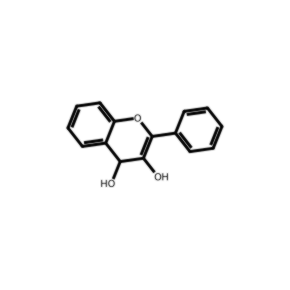 OC1=C(c2ccccc2)Oc2ccccc2C1O